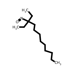 CCCCCCCCCC(CC)(CC)N=O